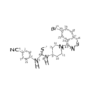 N#Cc1ccc(NC(=S)NC2CCN(c3nncc4ccc(Br)cc34)CC2)cc1